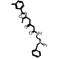 Cc1cccc(-c2nc(CC(=O)CC(=O)NCCN(Cc3ccccc3)C(C)C)c(C)o2)c1